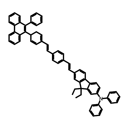 CCC1(CC)c2cc(/C=C/c3ccc(/C=C/C4=CCC(c5c(-c6ccccc6)c6ccccc6c6ccccc56)C=C4)cc3)ccc2-c2ccc(N(c3ccccc3)c3ccccc3)cc21